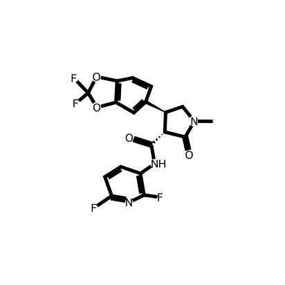 CN1C[C@H](c2ccc3c(c2)OC(F)(F)O3)[C@@H](C(=O)Nc2ccc(F)nc2F)C1=O